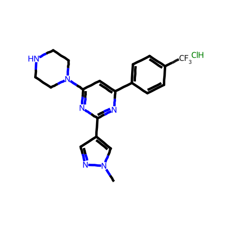 Cl.Cn1cc(-c2nc(-c3ccc(C(F)(F)F)cc3)cc(N3CCNCC3)n2)cn1